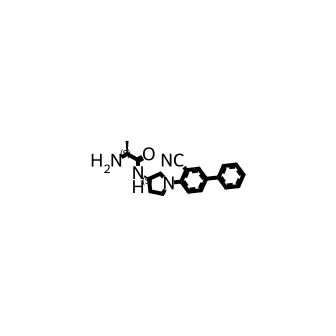 C[C@H](N)C(=O)N[C@H]1CCN(c2ccc(-c3ccccc3)cc2C#N)C1